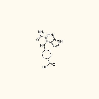 NC(=O)c1cnc2[nH]ccc2c1NC1CCC(C(=O)O)CC1